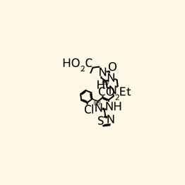 CCOC(=O)C1=C(CN2CCN3C(=O)N(CC(C)C(=O)O)C[C@@H]3C2)NC(c2nccs2)=N[C@H]1c1ccccc1Cl